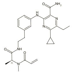 C=CC(=O)N(C)[C@@H](C)C(=O)NCCc1cccc(Nc2nc(C3CC3)c(CC)nc2C(N)=O)c1